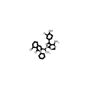 CC(c1cc2cccc(Cl)c2c(=O)n1-c1ccccc1)n1nc(-c2ccc(O)c(F)c2)c2c(N)ncnc21